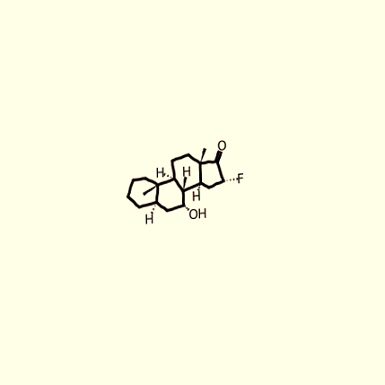 C[C@]12CCCC[C@@H]1C[C@@H](O)[C@@H]1[C@@H]2CC[C@]2(C)C(=O)[C@H](F)C[C@@H]12